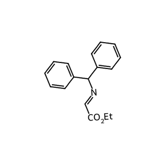 CCOC(=O)C=NC(c1ccccc1)c1ccccc1